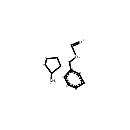 NC1CCCC1.O=COCc1ccccc1